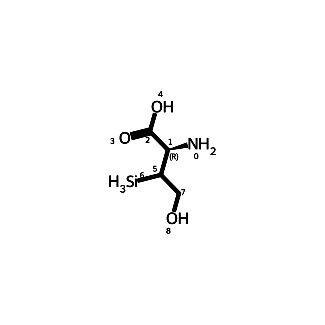 N[C@H](C(=O)O)C([SiH3])CO